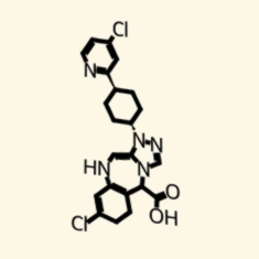 O=C(O)C1C2=C(C=C(Cl)CC2)NC=C2N1C=NN2[C@H]1CC[C@H](c2cc(Cl)ccn2)CC1